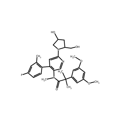 COc1cc(OC)cc(C(C)(C)C(=O)N(C)c2cnc(N3CC(O)CC3CO)cc2-c2ccc(F)cc2C)c1